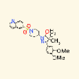 COc1ccc(C2=NN(C3CCN(S(=O)(=O)c4ccc5ncccc5c4)CC3)C(=O)C2(C)C)cc1OC